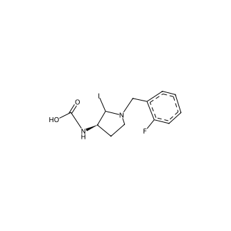 O=C(O)N[C@@H]1CCN(Cc2ccccc2F)C1I